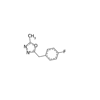 Cc1nnc(Cc2ccc(F)cc2)o1